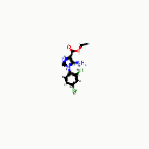 CCOC(=O)c1ncn(-c2ccc(Br)cc2Cl)c1N